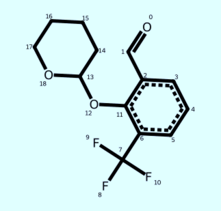 O=Cc1cccc(C(F)(F)F)c1OC1CCCCO1